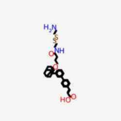 NCCSSCCNC(=O)CCCOc1ccc(-c2ccc(C=CC(=O)O)cc2)cc1C12CC3CC(CC(C3)C1)C2